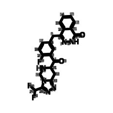 O=C(c1cc(Cc2n[nH]c(=O)c3ccccc23)ccc1F)C1Cc2nnc(C(F)F)n2CN1